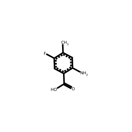 Cc1cc(N)c(C(=O)O)cc1F